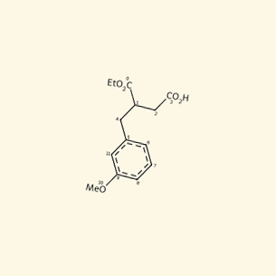 CCOC(=O)C(CC(=O)O)Cc1cccc(OC)c1